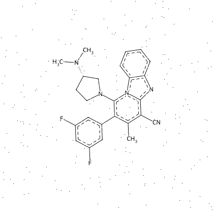 Cc1c(-c2cc(F)cc(F)c2)c(N2CC[C@H](N(C)C)C2)n2c(nc3ccccc32)c1C#N